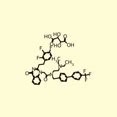 CCN(CC)CCN(Cc1ccc(-c2ccc(C(F)(F)F)cc2)cc1)C(=O)Cn1c(CCc2ccc(F)c(F)c2F)nc(=O)c2ccccc21.O=C(O)C(O)C(O)C(=O)O